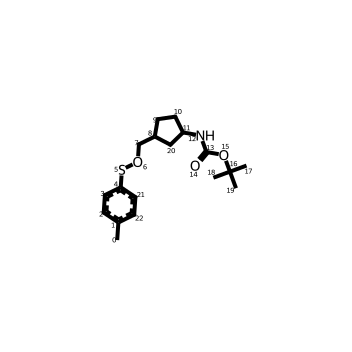 Cc1ccc(SOCC2CCC(NC(=O)OC(C)(C)C)C2)cc1